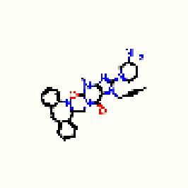 CC#CCn1c(N2CCCC(N)C2)nc2c1c(=O)n(CC1=Nc3ccccc3Cc3ccccc31)c(=O)n2C